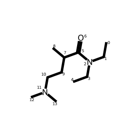 CCN(CC)C(=O)C(C)CCN(C)C